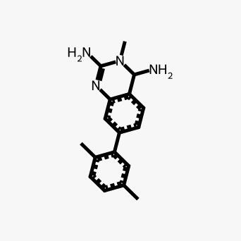 Cc1ccc(C)c(-c2ccc3c(c2)N=C(N)N(C)C3N)c1